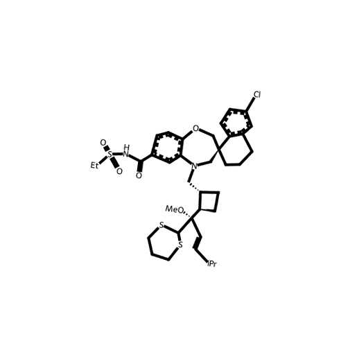 CCS(=O)(=O)NC(=O)c1ccc2c(c1)N(C[C@@H]1CC[C@H]1[C@](/C=C/C(C)C)(OC)C1SCCCS1)C[C@@]1(CCCc3cc(Cl)ccc31)CO2